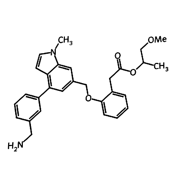 COCC(C)OC(=O)Cc1ccccc1OCc1cc(-c2cccc(CN)c2)c2ccn(C)c2c1